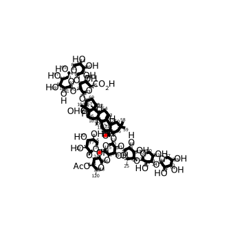 CC(=O)O[C@H]1[C@H](O[C@@H]2OC[C@@H](O)[C@H](O)[C@H]2O)[C@@H](O)[C@H](O[C@@H]2[C@H](O)[C@@H](O[C@@H]3O[C@@H](C)[C@H](O[C@@H]4OC[C@@H](O)[C@H](O[C@@H]5OC[C@@H](O)[C@H](O)[C@H]5O)[C@H]4O)[C@@H](O)[C@H]3O)[C@H](OC(=O)[C@]34CCC(C)(C)C[C@H]3C3=CC[C@@H]5[C@@]6(C)CC[C@H](O[C@H]7O[C@H](C(=O)O)[C@@H](O)[C@H](O[C@@H]8OC[C@@H](O)[C@H](O)[C@H]8O)[C@H]7O[C@@H]7O[C@H](CO)[C@H](O)[C@H](O)[C@H]7O)[C@@](C)(C=O)[C@@H]6CC[C@@]5(C)[C@]3(C)C[C@H]4O)O[C@@H]2C)O[C@@H]1C